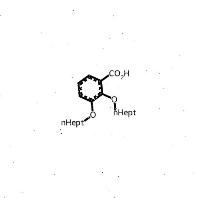 CCCCCCCOc1cccc(C(=O)O)c1OCCCCCCC